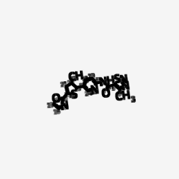 Cc1nnsc1C(=O)Nc1ccc(C2SC(c3ncco3)=CC2C)cn1